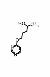 CC(O)CCCOc1ccncn1